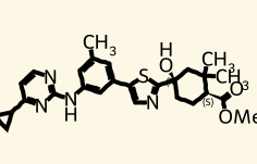 COC(=O)[C@H]1CC[C@](O)(c2ncc(-c3cc(C)cc(Nc4nccc(C5CC5)n4)c3)s2)CC1(C)C